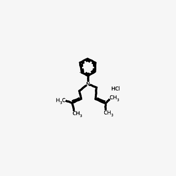 CC(C)=CCN(CC=C(C)C)c1[c]cccc1.Cl